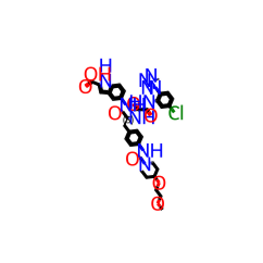 COCCOC1CCN(C(=O)Nc2ccc(C[C@H](NC(=O)C(=O)Nc3cc(Cl)ccc3-n3cnnn3)C(=O)Nc3ccc4[nH]c(C(=O)O)cc4c3)cc2)CC1